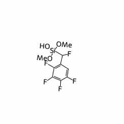 CO[Si](O)(OC)C(F)c1cc(F)c(F)c(F)c1F